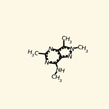 CNc1nc(C)nc2c(C)n(C)nc12